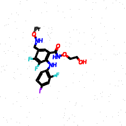 CC(C)ONCc1cc(C(=O)NOCCO)c(Nc2ccc(I)cc2F)c(F)c1F